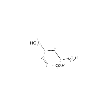 C=CC(=O)O.O=C(O)CCCC(=O)O